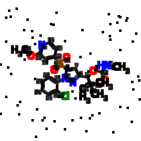 CNC(=O)OC(c1cc(S(=O)(=O)c2ccnc(OC)c2)n(-c2ccccc2Cl)n1)C(C)(C)C